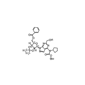 CC(C)(C)OC(=O)N(c1nc(CO)nc2c1cnn2[C@@H]1O[C@H](COC(=O)c2ccccc2)[C@H]2OC(C)(C)O[C@H]21)C1CCCC1